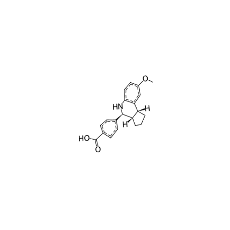 COc1ccc2c(c1)[C@@H]1CCC[C@@H]1[C@@H](c1ccc(C(=O)O)cc1)N2